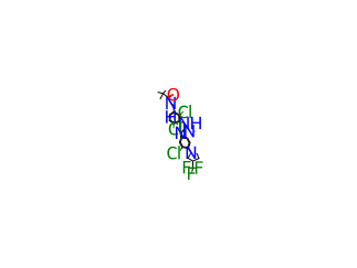 Cn1c(Nc2c(Cl)ccc(CNC(=O)C(C)(C)C)c2Cl)nc2cc(Cl)c(N3CCC(C(F)(F)F)C3)cc21